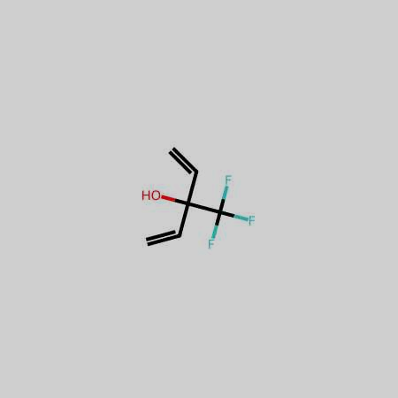 C=CC(O)(C=C)C(F)(F)F